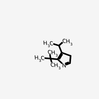 CC(C)C1=C(C(C)(C)C)N=CC1